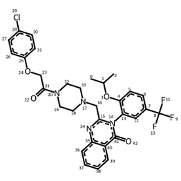 CC(C)Oc1ccc(C(F)(F)F)cc1-n1c(CN2CCN(C(=O)COc3ccc(Cl)cc3)CC2)nc2ccccc2c1=O